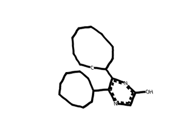 Oc1cnc(C2CCCCCCCC2)c(C2CCCCCCCCC2)n1